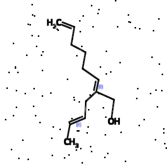 C=CCCC/C=C(/CO)C/C=C/C